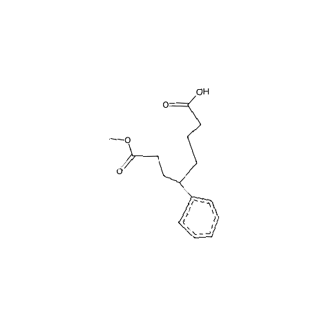 COC(=O)CCC(CCCC(=O)O)c1ccccc1